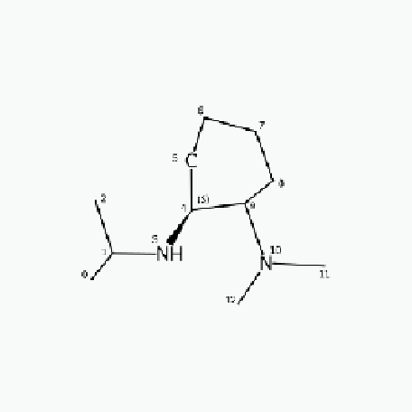 CC(C)N[C@H]1CCCCC1N(C)C